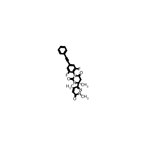 CN1C(=O)N(c2c(F)cc(C#Cc3ccccc3)cc2F)C(=O)C[C@@]1(C)c1ccc(=O)n(C)n1